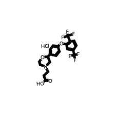 Cl.O=C(O)CCN1CCOC(c2ccc(Oc3cc(C(F)(F)F)ccc3C(F)(F)F)cc2)C1